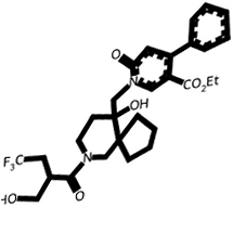 CCOC(=O)c1cn(CC2(O)CCN(C(=O)C(CO)CC(F)(F)F)CC23CCCC3)c(=O)cc1-c1ccccc1